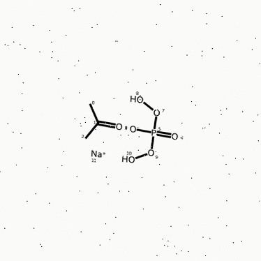 CC(C)=O.O=P([O-])(OO)OO.[Na+]